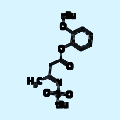 CCCCOc1ccccc1OC(=O)CC(C)=NS(=O)(=O)C(C)(C)C